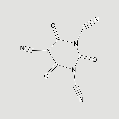 N#Cn1c(=O)n(C#N)c(=O)n(C#N)c1=O